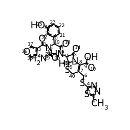 Cc1nnc(SCC2=C(C(=O)O)N3C(=O)[C@H](NC(=O)C(c4cccc(O)c4)N(C(N)=O)C(=O)c4ccoc4)[C@@H]3SC2)s1